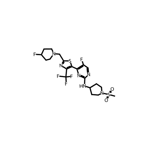 CS(=O)(=O)N1CCC(Nc2ncc(F)c(-c3sc(CN4CCC(F)CC4)nc3C(F)(F)F)n2)CC1